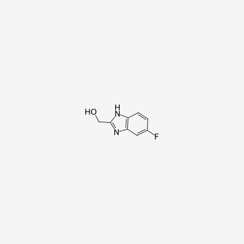 OCc1nc2cc(F)ccc2[nH]1